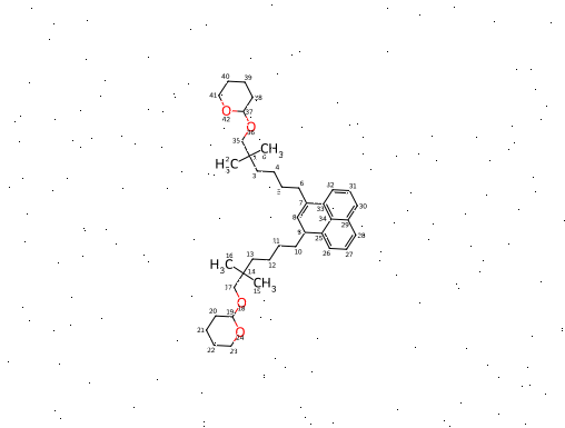 CC(C)(CCCCC1=CC(CCCCC(C)(C)COC2CCCCO2)c2cccc3cccc1c23)COC1CCCCO1